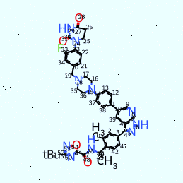 Cc1cc(-c2n[nH]c3ncc(-c4ccc(N5CCN(Cc6ccc(N7CCC(=O)NC7=O)c(F)c6)CC5)cc4)cc23)ccc1[C@@H](C)NC(=O)c1nc(C(C)(C)C)no1